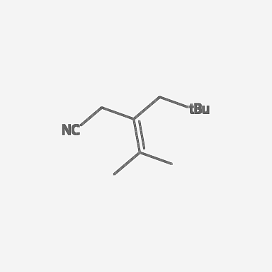 CC(C)=C(CC#N)CC(C)(C)C